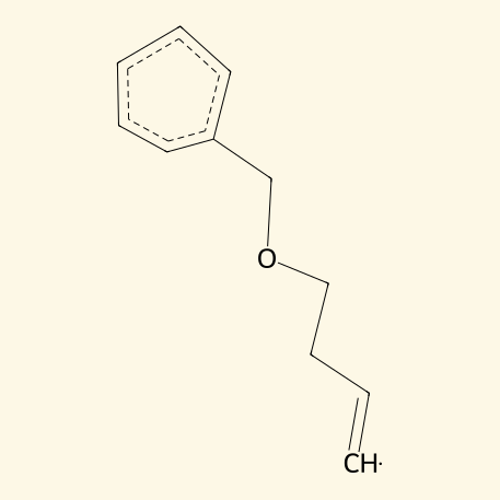 [CH]=CCCOCc1ccccc1